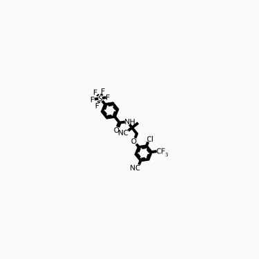 CC(C#N)(COc1cc(C#N)cc(C(F)(F)F)c1Cl)NC(=O)c1ccc(S(F)(F)(F)(F)F)cc1